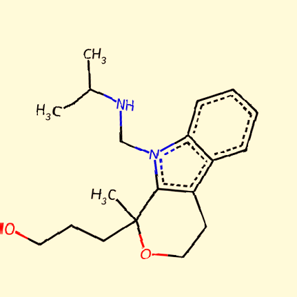 CC(C)NCn1c2c(c3ccccc31)CCOC2(C)CCCO